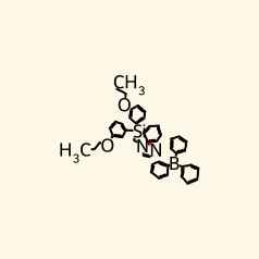 CCCOc1cccc([Si](Cn2ccnc2)(c2ccccc2)c2cccc(OCCC)c2)c1.c1ccc(B(c2ccccc2)c2ccccc2)cc1